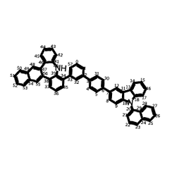 c1cc(-c2ccc(-c3ccc4c(c3)c3ccccc3n4-c3cccc4ccccc34)cc2)cc(-c2cccc3c2Nc2ccccc2-c2cc4ccccc4cc2-3)c1